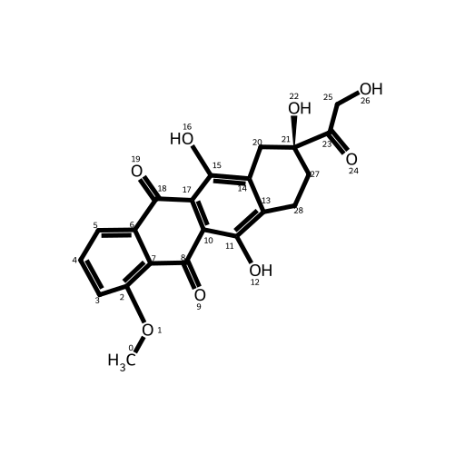 COc1cccc2c1C(=O)c1c(O)c3c(c(O)c1C2=O)C[C@](O)(C(=O)CO)CC3